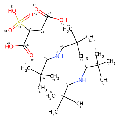 CC(C)(C)CNCC(C)(C)C.CC(C)(C)CNCC(C)(C)C.O=C(O)CC(C(=O)O)S(=O)(=O)O